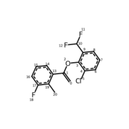 C=C(Oc1c(Cl)cccc1C(F)F)c1cccc(F)c1C